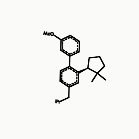 COc1cccc(-c2ccc(CC(C)C)cc2[C@H]2CCCC2(C)C)c1